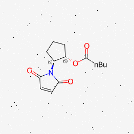 CCCCC(=O)O[C@H]1CCC[C@@H]1N1C(=O)C=CC1=O